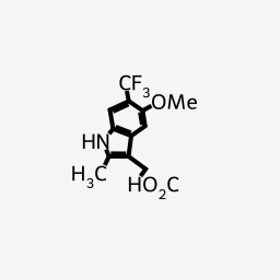 COc1cc2c(CC(=O)O)c(C)[nH]c2cc1C(F)(F)F